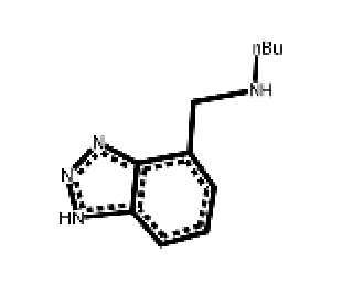 CCCCNCc1cccc2[nH]nnc12